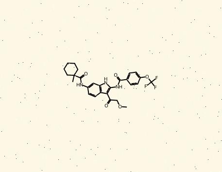 COCC(=O)c1c(NC(=O)c2ccc(OC(F)(F)F)cc2)[nH]c2cc(NC(=O)C3(C)CCCCC3)ccc12